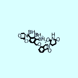 Bc1c(COc2cccc3c2CN(C2CCC(=O)NC2=O)C3=O)ccc(C(B)N2CCOCC2=O)c1B